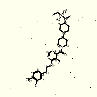 CCS(=O)(=O)N(C)C1CCN(C2CCN(C(=O)c3ncnc(NCCc4ccc(Cl)c(Cl)c4)c3C)CC2)CC1